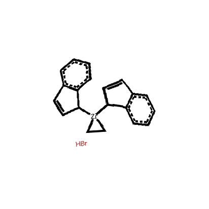 Br.C1=C[CH]([Zr]2([CH]3C=Cc4ccccc43)[CH2][CH2]2)c2ccccc21